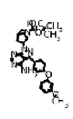 COc1cccc(Oc2ccc(-c3nn(C4CC5CC4N(C(=O)OC(C)(C)C)C5)c4ncnc(N)c34)cc2)c1